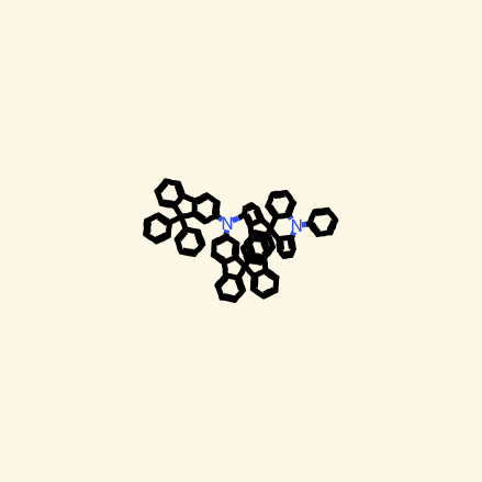 c1ccc(N2c3ccccc3C3(c4ccccc4-c4c(N(c5ccc6c(c5)C(c5ccccc5)(c5ccccc5)c5ccccc5-6)c5ccc6c(c5)C5(c7ccccc7-c7ccccc75)c5ccccc5-6)cccc43)c3ccccc32)cc1